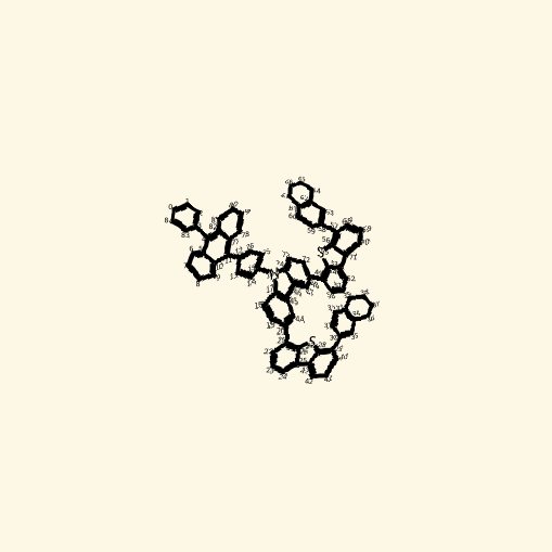 c1ccc(-c2c3ccccc3c(-c3ccc(-n4c5ccc(-c6cccc7c6sc6c(-c8ccc9c(c8)CCCC9)cccc67)cc5c5cc(-c6cccc7c6sc6c(-c8ccc9c(c8)CCCC9)cccc67)ccc54)cc3)c3ccccc23)cc1